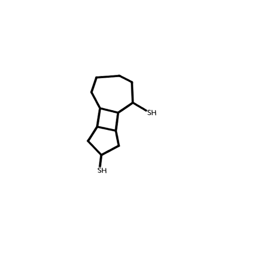 SC1CC2C3CCCCC(S)C3C2C1